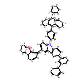 c1ccc(-c2cccc(-c3ccc4c(c3)c3cc(-c5cccc6c5oc5ccccc56)ccc3n4-c3ccc(-c4c5ccccc5c(-c5ccccc5)c5ccccc45)cc3)c2)cc1